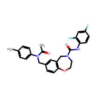 CC(=O)N(Cc1ccc2c(c1)CN(C(=O)Nc1ccc(F)cc1F)CCO2)c1ccc(C)cc1